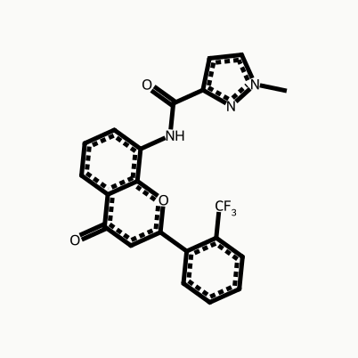 Cn1ccc(C(=O)Nc2cccc3c(=O)cc(-c4ccccc4C(F)(F)F)oc23)n1